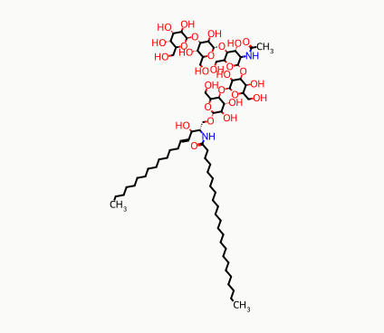 CCCCCCCCCCCCC/C=C/[C@@H](O)[C@H](CO[C@@H]1OC(CO)[C@@H](O[C@@H]2OC(CO)[C@H](O)[C@H](O[C@@H]3OC(CO)[C@@H](O[C@@H]4OC(CO)[C@H](O)[C@H](O[C@H]5OC(CO)[C@H](O)[C@H](O)C5O)C4O)[C@H](O)C3NC(C)=O)C2O)[C@H](O)C1O)NC(=O)CCCCCCCCCCCCCCCCCCCCCCC